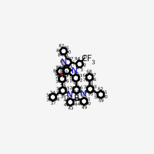 FC(F)(F)c1ccc(-n2c3ccccc3c3cc(-c4cc5c6c(c4)N(c4cc(-c7ccccc7)cc(-c7ccccc7)c4)c4ccccc4B6c4ccccc4N5c4cc(-c5ccccc5)cc(-c5ccccc5)c4)ccc32)c(-c2cc(-c3ccccc3)nc(-c3ccccc3)c2)c1